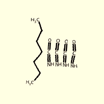 CCCCCCC.N=C=O.N=C=O.N=C=O.N=C=O